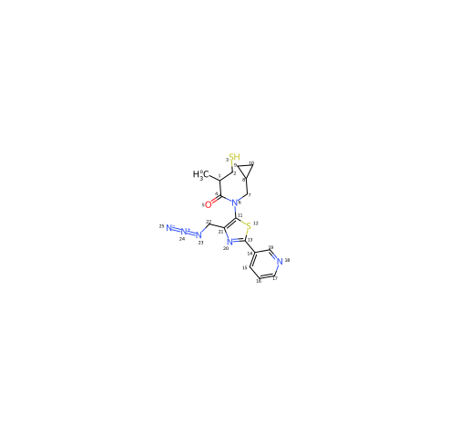 CC(CS)C(=O)N(CC1CC1)c1sc(-c2cccnc2)nc1CN=[N+]=[N-]